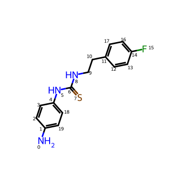 Nc1ccc(NC(=S)NCCc2ccc(F)cc2)cc1